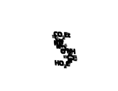 CCOC(=O)Cc1nnn(CC(=O)N[C@H]2CCN(C(=O)O)C2)n1